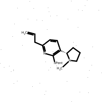 C=CCc1ccc([C@@H]2CCCN2C)c(CCCCC)n1